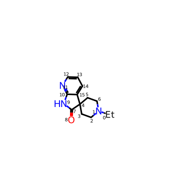 CCN1CCC2(CC1)C(=O)Nc1ncccc12